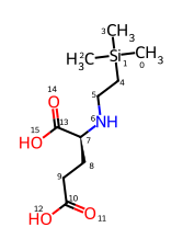 C[Si](C)(C)CCN[C@@H](CCC(=O)O)C(=O)O